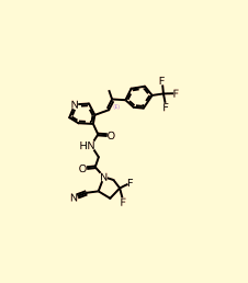 C/C(=C\c1cnccc1C(=O)NCC(=O)N1CC(F)(F)CC1C#N)c1ccc(C(F)(F)F)cc1